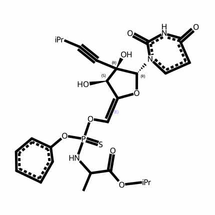 CC(C)C#C[C@@]1(O)[C@H](O)/C(=C\OP(=S)(NC(C)C(=O)OC(C)C)Oc2ccccc2)O[C@H]1n1ccc(=O)[nH]c1=O